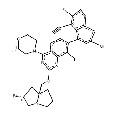 C#Cc1c(F)ccc2cc(O)cc(-c3ccc4c(N5CCO[C@@H](C)C5)nc(OC[C@@]56CCCN5C[C@H](F)C6)nc4c3F)c12